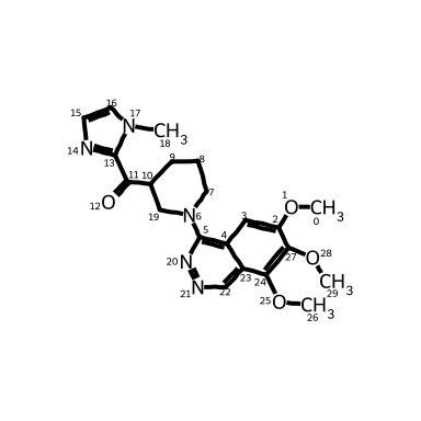 COc1cc2c(N3CCCC(C(=O)c4nccn4C)C3)nncc2c(OC)c1OC